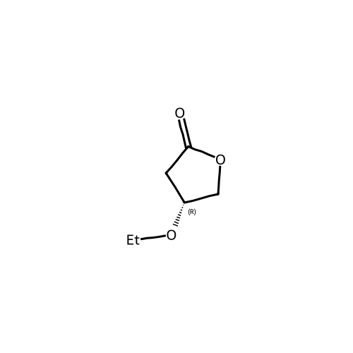 CCO[C@H]1COC(=O)C1